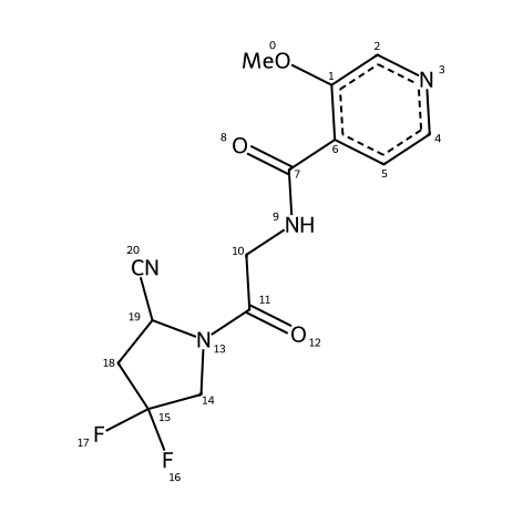 COc1cnccc1C(=O)NCC(=O)N1CC(F)(F)CC1C#N